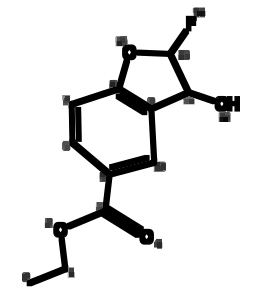 CCOC(=O)c1ccc2c(c1)C(O)C(F)O2